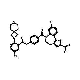 Cc1cnc(N2CC3(CCOCC3)C2)c(C(=O)Nc2ccc(C(=O)N3CCc4cc(C(=O)O)sc4-c4ccc(F)cc43)cc2)c1